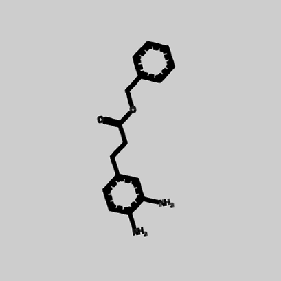 Nc1ccc(CCC(=O)OCc2ccccc2)cc1N